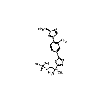 CCCCCn1cc(-c2ccc(-c3nnc([C@@](C)(N)COP(=O)(O)O)s3)cc2C(F)(F)F)cn1